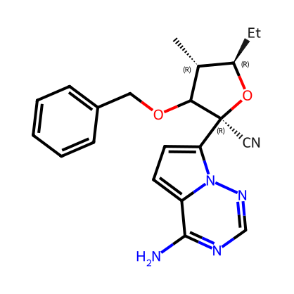 CC[C@H]1O[C@@](C#N)(c2ccc3c(N)ncnn23)C(OCc2ccccc2)[C@@H]1C